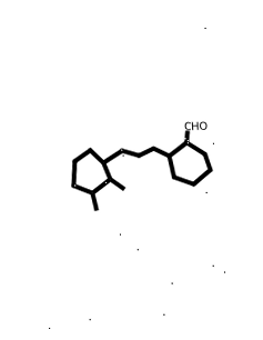 CC1CCCC(CCCC2CCCCC2C=O)C1C